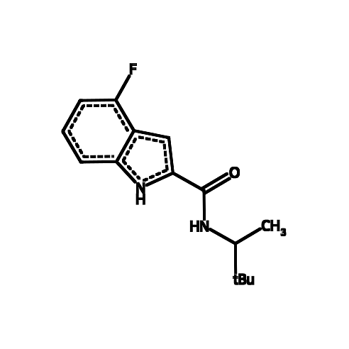 CC(NC(=O)c1cc2c(F)cccc2[nH]1)C(C)(C)C